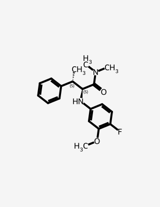 COc1cc(N[C@H](C(=O)N(C)C)[C@@H](C)c2ccccc2)ccc1F